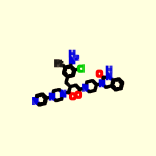 CCc1cc(C[C@@H](CC(=O)N2CCC(N3Cc4ccccc4NC3=O)CC2)C(=O)N2CCN(c3ccncc3)CC2)cc(Cl)c1N